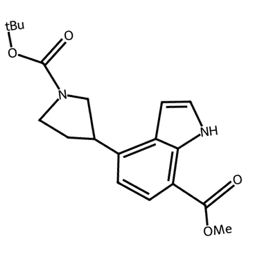 COC(=O)c1ccc(C2CCN(C(=O)OC(C)(C)C)C2)c2cc[nH]c12